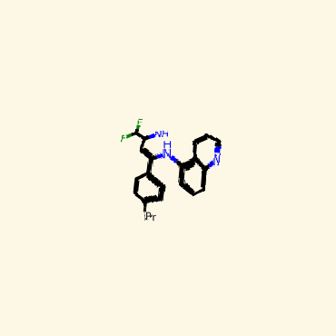 CC(C)c1ccc(/C(=C/C(=N)C(F)F)Nc2cccc3ncccc23)cc1